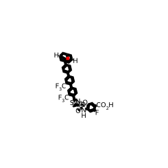 COc1cc(C(=O)O)c(F)cc1NS(=O)(=O)c1csc(-c2ccc(-c3ccc(-c4ccc(C56CC7C[C@H](C5)C[C@H](C7)C6)cc4)cc3C(F)(F)F)cc2C(F)(F)F)n1